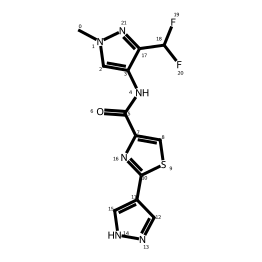 Cn1cc(NC(=O)c2csc(-c3cn[nH]c3)n2)c(C(F)F)n1